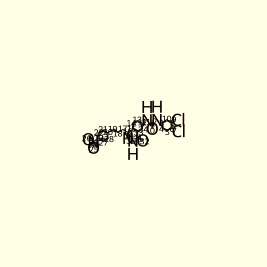 O=C(Nc1ccc(Cl)c(Cl)c1)Nc1ccc2c(CC=Cc3ccc([N+](=O)[O-])cc3)n[nH]c(=O)c2c1